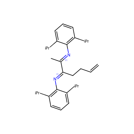 C=CCCC(=N\c1c(C(C)C)cccc1C(C)C)/C(C)=N/c1c(C(C)C)cccc1C(C)C